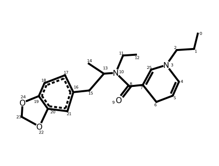 CCCN1C=CCC(C(=O)N(CC)C(C)Cc2ccc3c(c2)OCO3)=C1